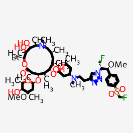 CC[C@H]1OC(=O)[C@H](C)[C@@H](O[C@H]2C[C@@](C)(OC)[C@@H](O)[C@H](C)O2)[C@H](C)[C@@H](O[C@H]2C[C@@H](N(C)CCc3cn([C@H](CF)[C@H](OC)c4ccc(S(=O)(=O)CF)cc4)nn3)C[C@@H](C)O2)[C@](C)(O)C[C@@H](C)CN(C)[C@H](C)[C@@H](O)[C@]1(C)O